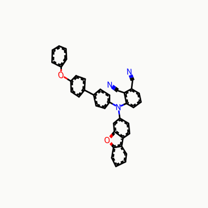 N#Cc1cccc(N(c2ccc(-c3ccc(Oc4ccccc4)cc3)cc2)c2ccc3c(c2)oc2ccccc23)c1C#N